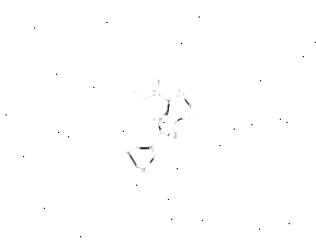 CCN(CC)c1ncnc2[nH]c(-c3cccnc3)nc12